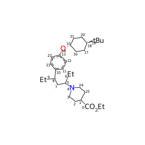 CCOC(=O)C1CCN(C(CC)CC(CC)c2ccc(O[C@H]3CC[C@H](C(C)(C)C)CC3)cc2)CC1